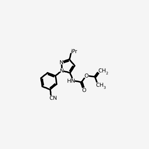 C=C(C)OC(=O)Nc1cc(C(C)C)nn1-c1cccc(C#N)c1